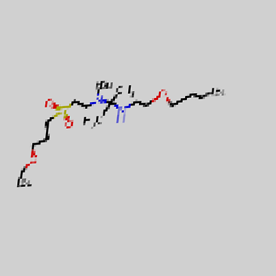 CC(C)(C)CCCOCCNC(C)(C)N(CCS(=O)(=O)CCCOCC(C)(C)C)C(C)(C)C